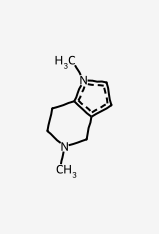 CN1CCc2c(ccn2C)C1